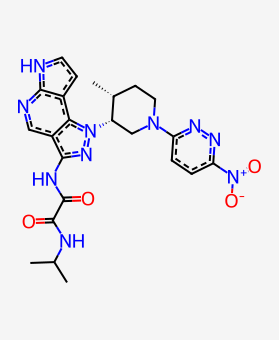 CC(C)NC(=O)C(=O)Nc1nn([C@H]2CN(c3ccc([N+](=O)[O-])nn3)CC[C@H]2C)c2c1cnc1[nH]ccc12